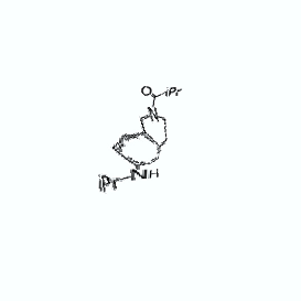 CC(C)Nc1ccc2c(c1)CCN(C(=O)C(C)C)C2